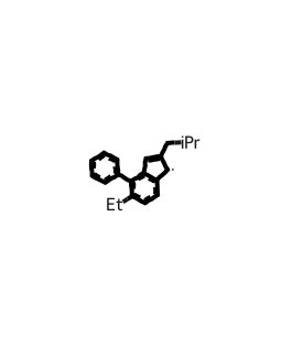 CCc1ccc2c(c1-c1ccccc1)C=C(CC(C)C)[CH]2